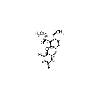 C=Cc1ccnc(Oc2c(F)cc(F)cc2F)c1C(=O)SC